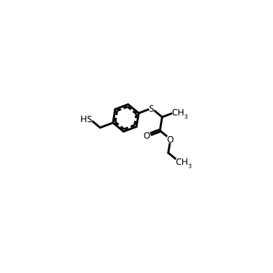 CCOC(=O)C(C)Sc1ccc(CS)cc1